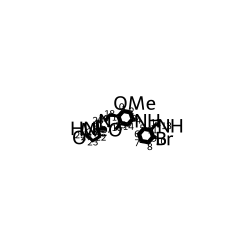 COc1cc(Nc2cccc(Br)c2C=N)cc(OC)c1CN1CC2(CCC(=O)N2)C1